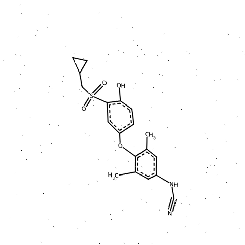 Cc1cc(NC#N)cc(C)c1Oc1ccc(O)c(S(=O)(=O)CC2CC2)c1